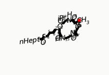 CCCCCCCC(=O)SCC/C=C/[C@@H]1CC(=O)NCc2nc(co2)C2=N[C@@](C)(CS2)C(=O)NC(C(C)C)C(=O)O1